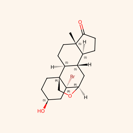 C[C@]12CC[C@H]3[C@@H](C[C@H]4OC[C@@]35CC[C@H](O)C[C@]45Br)[C@@H]1CCC2=O